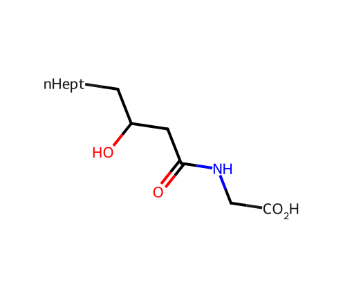 CCCCCCCCC(O)CC(=O)NCC(=O)O